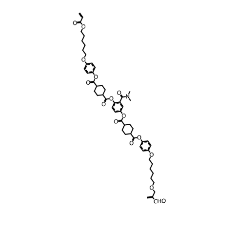 C=CC(=O)OCCCCCCOc1ccc(OC(=O)C2CCC(C(=O)Oc3ccc(OC(=O)C4CCC(C(=O)Oc5ccc(OCCCCCCOCC(=C)C=O)cc5)CC4)cc3C(=O)N(C)C)CC2)cc1